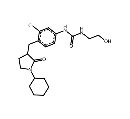 O=C(NCCO)Nc1ccc(CC2CCN(C3CCCCC3)C2=O)c(Cl)c1